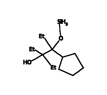 CCC(O)(CC)C(CC)(O[SiH3])C1CCCC1